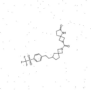 O=C1CCC2(CN(C(=O)N3CC4(CCC(CCc5ccc(S(=O)(=O)C(F)(F)F)cc5)C4)C3)C2)N1